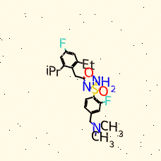 CCc1cc(F)cc(C(C)C)c1CC(=O)N=S(N)(=O)c1ccc(CN(C)C)cc1F